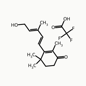 CC(C=CC1=C(C)C(=O)CCC1(C)C)=CCO.O=C(O)C(F)(F)F